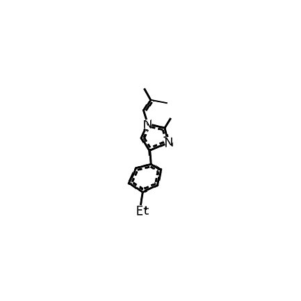 CCc1ccc(-c2cn(C=C(C)C)c(C)n2)cc1